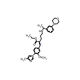 CCOC(=O)/C(=C\c1ccc(-n2cnc(C)c2)c(OC)c1)CCCNC(C)c1cccc(N2CCOCC2)c1